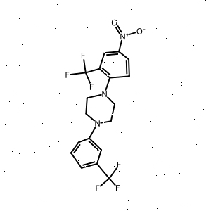 O=[N+]([O-])c1ccc(N2CCN(c3cccc(C(F)(F)F)c3)CC2)c(C(F)(F)F)c1